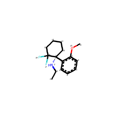 CCN[C@@]1(c2ccccc2OC)CCCCC1(F)F